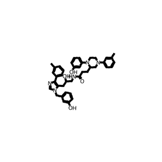 Cc1cccc(-c2ncn(Cc3cccc(O)c3)c2CC(O)CNC(=O)CCC2CN(c3cccc(C)c3)CCN2c2cccc(O)c2)c1